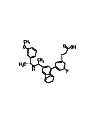 COc1cccc([C@@H](C)NC(C)c2cc(-c3cc(F)cc(CCC(=O)O)c3)c3c(c2)C2CCC3CC2)c1